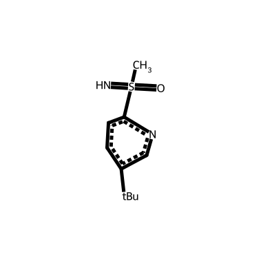 CC(C)(C)c1ccc(S(C)(=N)=O)nc1